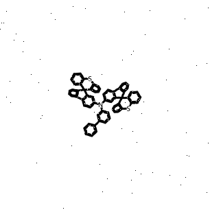 c1ccc(-c2cccc(N(c3ccc4c(c3)C3(c5ccccc5Sc5ccccc53)c3ccccc3-4)c3ccc4c(c3)C3(c5ccccc5Sc5ccccc53)c3ccccc3-4)c2)cc1